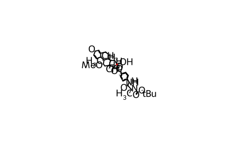 CO[C@H]1C[C@@]2(C)[C@@H](C[C@H]3O[C@@H](c4ccc(NC(=O)[C@H](C)NC(=O)OC(C)(C)C)cc4)O[C@]32C(=O)CO)[C@@H]2CCC3=CC(=O)C=C[C@]3(C)[C@@]12C